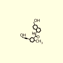 Cc1ccc(C#CCO)cc1C(=O)N(I)c1cccc2cc(CO)ccc12